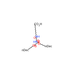 CCCCCCCCCCCCCCCCOC(=O)CCC(NC(=O)CCC(=O)NCCCCCCCCCCCC(=O)O)C(=O)OCCCCCCCCCCCCCCCC